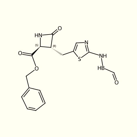 O=CBNc1ncc(C[C@H]2C(=O)N[C@@H]2C(=O)OCc2ccccc2)s1